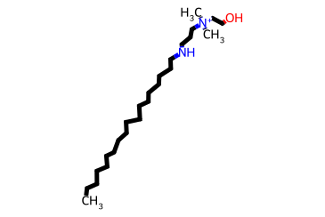 CCCCCCCCCCCCCCCCCCNCCC[N+](C)(C)CCO